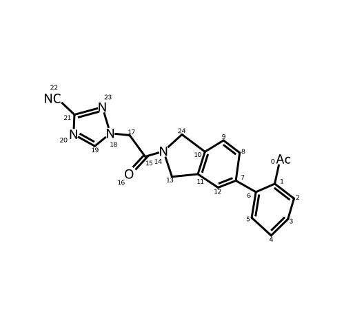 CC(=O)c1ccccc1-c1ccc2c(c1)CN(C(=O)Cn1cnc(C#N)n1)C2